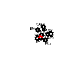 Cc1cc2c3c(c1)N(c1ccc(C(C)(C)C)cc1)c1c(oc4ccc(C(C)(C)C)cc14)B3c1cc3c(cc1N2c1c(C)cc(C(C)(C)C)cc1-c1ccc2c(c1)C(C)(C)CCC2(C)C)C(C)(C)CCC3(C)C